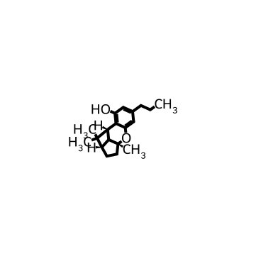 CCCc1cc(O)c2c(c1)O[C@]1(C)CC[C@H]3C1[C@@H]2C3(C)C